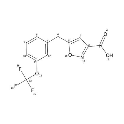 O=C(O)c1cc(Cc2cccc(OC(F)(F)F)c2)on1